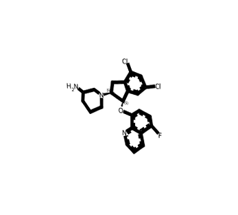 NC1CCCN([C@H]2Cc3c(Cl)cc(Cl)cc3[C@@H]2Oc2ccc(F)c3cccnc23)C1